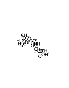 CCOC(C)C(OC)c1cccc(-c2csc(NC(=O)c3cc(F)c(C=C(OC)C(=O)O)c(F)c3)n2)c1F